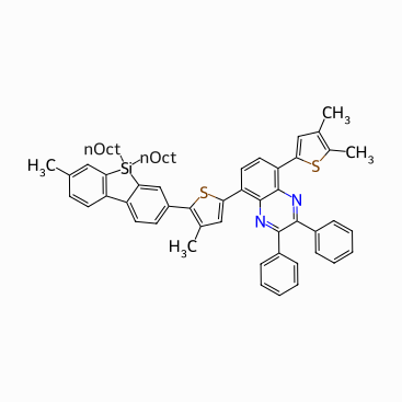 CCCCCCCC[Si]1(CCCCCCCC)c2cc(C)ccc2-c2ccc(-c3sc(-c4ccc(-c5cc(C)c(C)s5)c5nc(-c6ccccc6)c(-c6ccccc6)nc45)cc3C)cc21